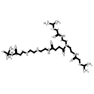 CC(C)SCC(=O)NCCN(CCNC(=O)CSC(C)C)C(=O)CCC(=O)NCCOCCOCCC(=O)NC(C)(C)I